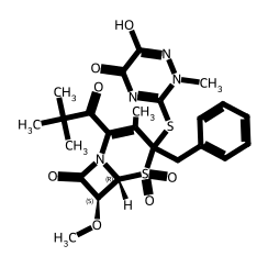 CO[C@H]1C(=O)N2C(C(=O)C(C)(C)C)=C(C)C(Cc3ccccc3)(Sc3nc(=O)c(O)nn3C)S(=O)(=O)[C@H]12